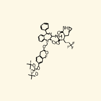 CC(C)(C)OP(=O)(Oc1ccc(CC(=O)OCN2C(=O)C(NC(=O)C(CCC(F)(F)F)C(CC3CC3)C(N)=O)N=C(c3ccccc3)c3ccccc32)c(F)c1)OC(C)(C)C